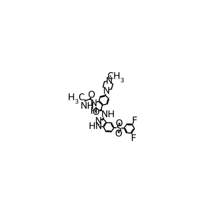 CC(N)C(=O)Nc1cc(N2CCN(C)CC2)ccc1C(=O)Nc1n[nH]c2ccc(S(=O)(=O)c3cc(F)cc(F)c3)cc12